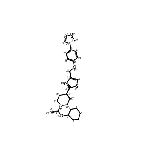 N=C(OC1CCCCC1)N1CCC(c2nc(COc3ccc(-n4cnnn4)cc3)cs2)CC1